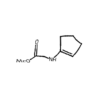 COC(=O)NC1=CCCC1